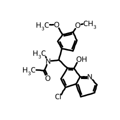 COc1ccc(C(c2cc(Cl)c3cccnc3c2O)N(C)C(C)=O)cc1OC